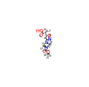 CC(C)C(C(=O)O)c1cc(N2C[C@@H](C)N(C(=O)OC(C)(C)C)C[C@@H]2C)no1